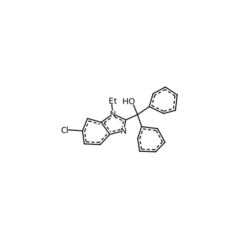 CCn1c(C(O)(c2ccccc2)c2ccccc2)nc2ccc(Cl)cc21